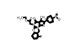 CCOC(=O)Cn1c(=O)c2c(C)c(-c3ccc([N+](=O)[O-])cc3)sc2n(Cc2ccccc2F)c1=O